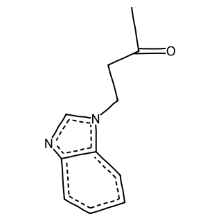 CC(=O)CCn1cnc2ccccc21